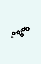 Brc1cccc(-c2ccc3c(c2)c2ccccc2n3-c2ccc3oc4ccccc4c3c2)c1